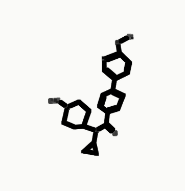 CCOc1ccc(-c2ccc(C(=O)N(C3CC3)C3CCN(C=O)CC3)cc2)cn1